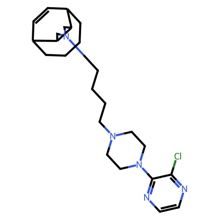 Clc1nccnc1N1CCN(CCCCN2CC3C4C=CC(CCCC4)C3C2)CC1